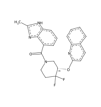 Cc1nc2c(C(=O)N3CCC(F)(F)[C@@H](Oc4ccc5ccccc5n4)C3)cccc2[nH]1